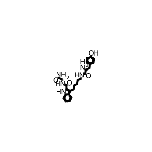 NC(=O)CNC(=O)c1[nH]c2ccccc2c1CCCCCNC(=O)[C@@H](N)Cc1ccc(O)cc1